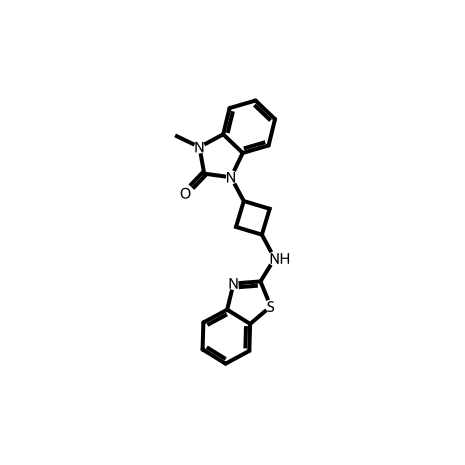 Cn1c(=O)n(C2CC(Nc3nc4ccccc4s3)C2)c2ccccc21